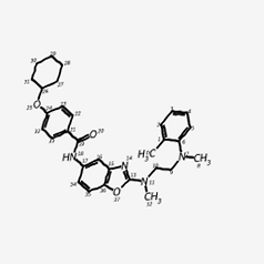 Cc1ccccc1N(C)CCN(C)c1nc2cc(NC(=O)c3ccc(OC4CCCCC4)cc3)ccc2o1